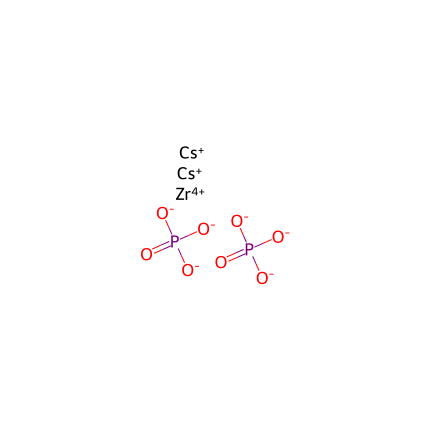 O=P([O-])([O-])[O-].O=P([O-])([O-])[O-].[Cs+].[Cs+].[Zr+4]